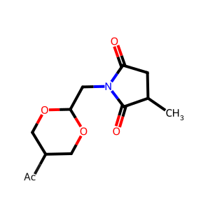 CC(=O)C1COC(CN2C(=O)CC(C)C2=O)OC1